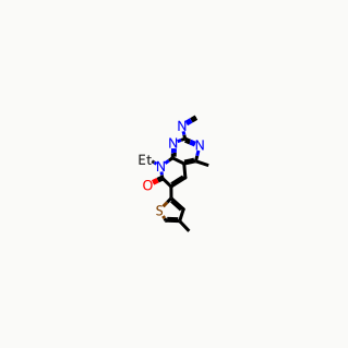 C=Nc1nc(C)c2cc(-c3cc(C)cs3)c(=O)n(CC)c2n1